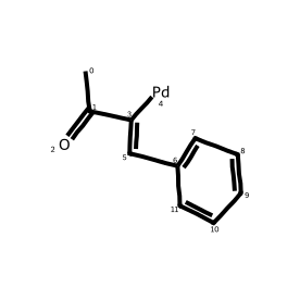 CC(=O)[C]([Pd])=Cc1ccccc1